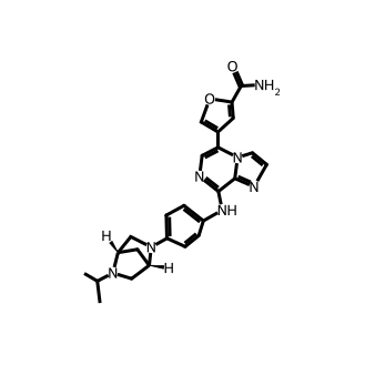 CC(C)N1C[C@@H]2C[C@H]1CN2c1ccc(Nc2ncc(-c3coc(C(N)=O)c3)n3ccnc23)cc1